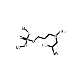 CCCCN(CCCOP(=O)(OCC)OCC)CC(O)CCC